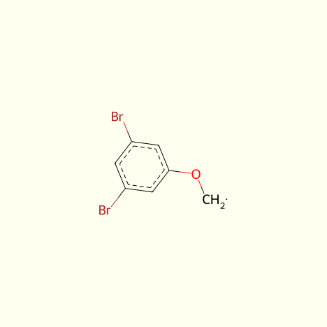 [CH2]Oc1cc(Br)cc(Br)c1